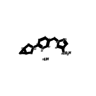 O=C(O)c1cnn(Cc2ccc(N3CC4CC4C3)nc2)c1.[LiH]